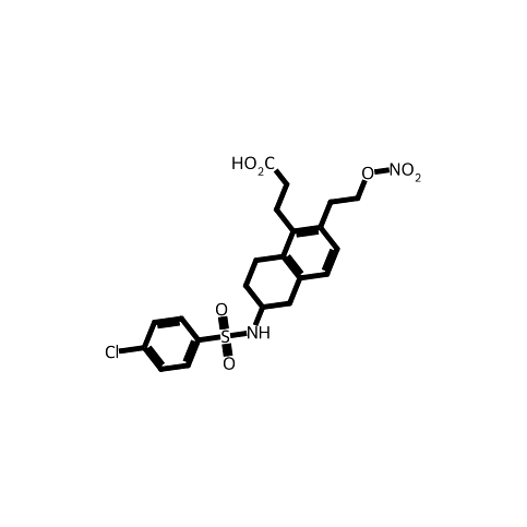 O=C(O)CCc1c(CCO[N+](=O)[O-])ccc2c1CCC(NS(=O)(=O)c1ccc(Cl)cc1)C2